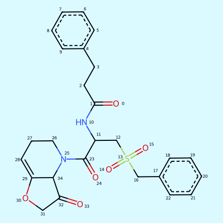 O=C(CCc1ccccc1)NC(CS(=O)(=O)Cc1ccccc1)C(=O)N1CCC=C2OCC(=O)C21